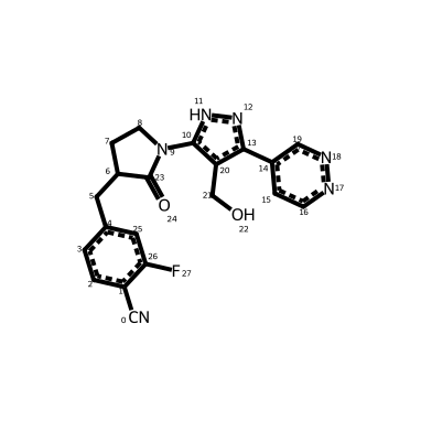 N#Cc1ccc(CC2CCN(c3[nH]nc(-c4ccnnc4)c3CO)C2=O)cc1F